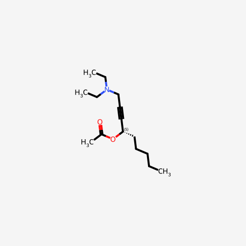 CCCCC[C@@H](C#CCN(CC)CC)OC(C)=O